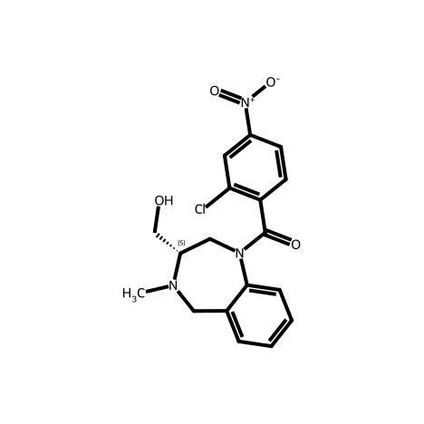 CN1Cc2ccccc2N(C(=O)c2ccc([N+](=O)[O-])cc2Cl)C[C@H]1CO